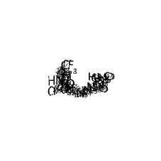 O=C1CCC(N2Cc3nc(N4CCN(CC5CCN(S(=O)(=O)Nc6ccc(Cl)cc6C(=O)Nc6ccc(C(F)(F)F)cc6Cl)CC5)CC4)ccc3C2=O)C(=O)N1